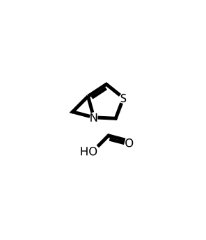 C1=C2CN2CS1.O=CO